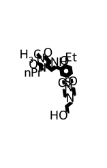 CCCn1c(=O)n(C)c(=O)c2[nH]c(-c3cc(S(=O)(=O)N4CCN(CCCO)CC4)ccc3OCC)cc21